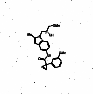 COC[C@H](O)Cn1c(C(C)(C)C)cc2cc(NC(=O)C3(c4cccc(OC)c4)CC3)ccc21